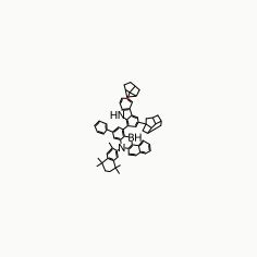 Cc1cc2c(cc1N1c3cc(-c4ccccc4)cc(-c4cc(C56CC7CC8CC(C5)C6C87)cc5c4[nH]c4ccc(C67C8CCC6CC7C8)cc45)c3Bc3c1ccc1ccccc31)C(C)(C)CCC2(C)C